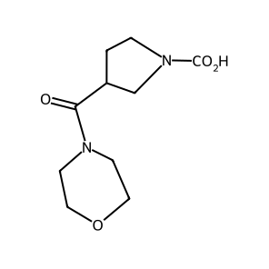 O=C(O)N1CCC(C(=O)N2CCOCC2)C1